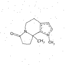 Cn1ccc2c1C1(C)CCC(=O)N1CC2